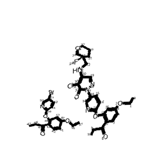 CCOc1ccc(C(=O)CC)c(Oc2ccc(-n3ncc(NC[C@@]4(F)CCCOC4)c(Cl)c3=O)cn2)c1.CCOc1ccc(C(=O)CC)c(Oc2ccc(Br)cn2)c1